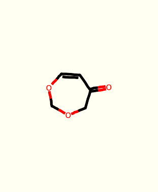 O=C1C=COCOC1